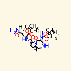 CC(C)(C)OC(=O)N[C@H]1CNCC[C@H]2CC[C@@H](C(=O)N[C@@H](CCC(N)=O)C(=O)OC(C)(C)C)N2C1=O